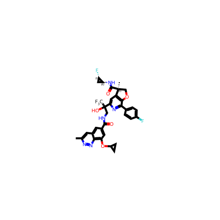 Cc1cc2cc(C(=O)NCC(O)(c3cc4c(c(-c5ccc(F)cc5)n3)OC[C@]4(C)C(=O)N[C@@H]3C[C@@H]3F)C(F)(F)F)cc(OC3CC3)c2nn1